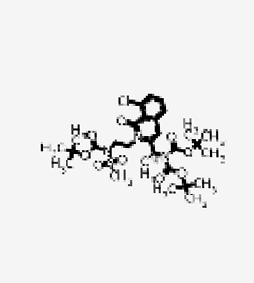 C[C@@H](c1cc2cccc(Cl)c2c(=O)n1CCN(C(=O)OC(C)(C)C)S(C)(=O)=O)N(C(=O)OC(C)(C)C)C(=O)OC(C)(C)C